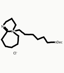 CCCCCCCCCCCCCCCC[N+]12CCCCCC1=NCCC2.[Cl-]